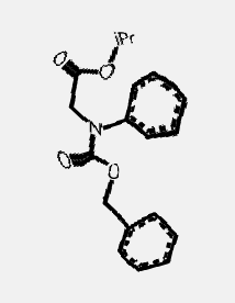 CC(C)OC(=O)CN(C(=O)OCc1ccccc1)c1ccccc1